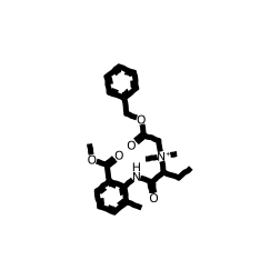 CCC(C(=O)Nc1c(C)cccc1C(=O)OC)[N+](C)(C)CC(=O)OCc1ccccc1